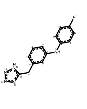 Fc1ccc(Nc2[c]ccc(Cc3nnn[nH]3)c2)cc1